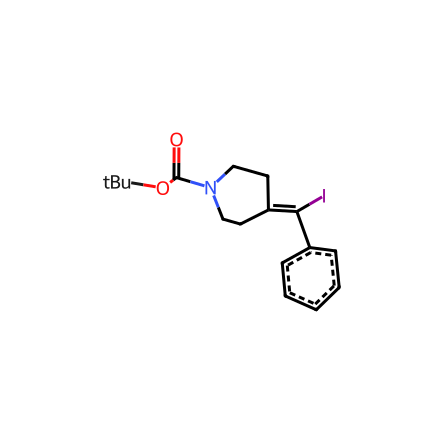 CC(C)(C)OC(=O)N1CCC(=C(I)c2ccccc2)CC1